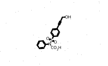 O=C(O)N(c1ccccc1)S(=O)(=O)c1ccc(C#CCO)cc1